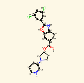 O=C(OC1CCN(c2cccnc2)C1)c1ccc2nc(-c3cc(Cl)cc(Cl)c3)oc2c1